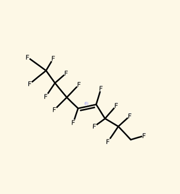 FCC(F)(F)C(F)(F)/C(F)=C(\F)C(F)(F)C(F)(F)C(F)(F)F